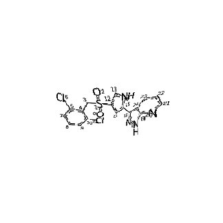 O=S(=O)(Cc1c(Cl)cccc1Cl)c1c[nH]c(-c2n[nH]c3ncccc23)c1